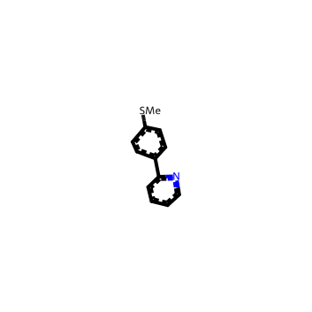 CSc1ccc(-c2ccccn2)cc1